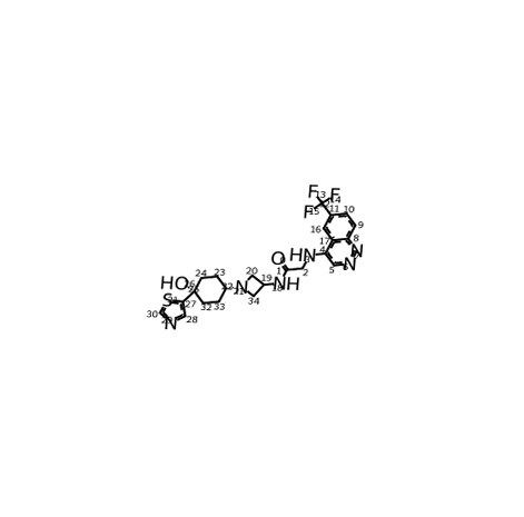 O=C(CNc1cnnc2ccc(C(F)(F)F)cc12)NC1CN([C@H]2CC[C@](O)(c3cncs3)CC2)C1